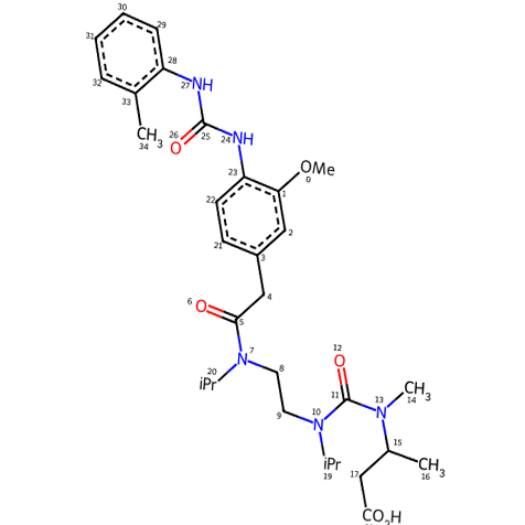 COc1cc(CC(=O)N(CCN(C(=O)N(C)C(C)CC(=O)O)C(C)C)C(C)C)ccc1NC(=O)Nc1ccccc1C